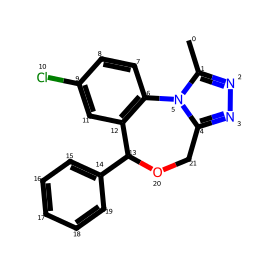 Cc1nnc2n1-c1ccc(Cl)cc1C(c1ccccc1)OC2